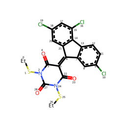 CCSN1C(=O)C(=C2c3cc(Cl)ccc3-c3c(Cl)cc(Cl)cc32)C(=O)N(SCC)C1=O